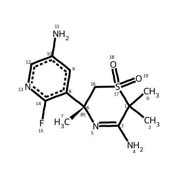 CC1(C)C(N)=N[C@](C)(c2cc(N)cnc2F)CS1(=O)=O